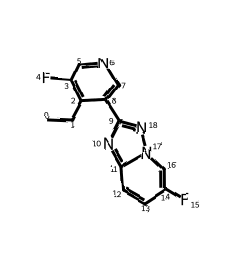 CCc1c(F)cncc1-c1nc2ccc(F)cn2n1